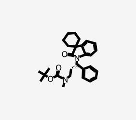 CN(CC[C@@H](c1ccccc1)N1C(=O)C2(CCCCC2)c2ccccc21)C(=O)OC(C)(C)C